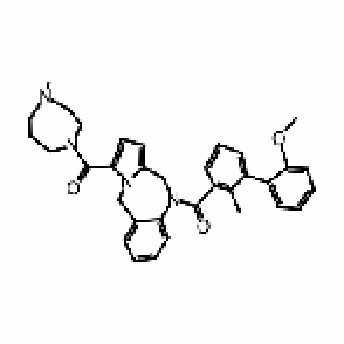 COc1ccccc1-c1cccc(C(=O)N2Cc3ccc(C(=O)N4CCCN(C)CC4)n3Cc3ccccc32)c1C